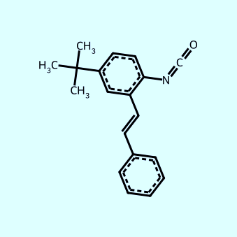 CC(C)(C)c1ccc(N=C=O)c(C=Cc2ccccc2)c1